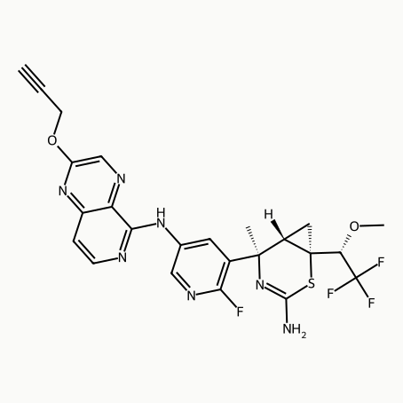 C#CCOc1cnc2c(Nc3cnc(F)c([C@]4(C)N=C(N)S[C@@]5([C@H](OC)C(F)(F)F)C[C@H]54)c3)nccc2n1